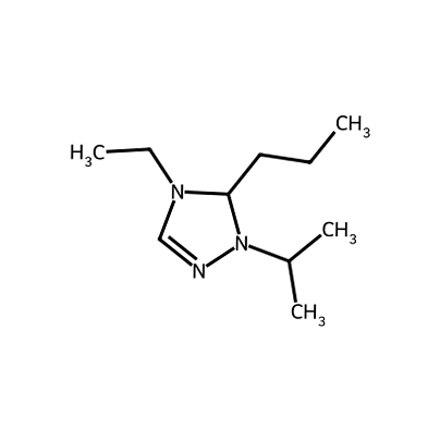 CCCC1N(CC)C=NN1C(C)C